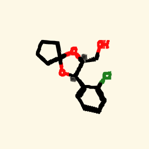 OC[C@H]1OC2(CCCC2)O[C@@H]1c1ccccc1Cl